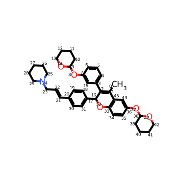 CC1=C(c2cccc(OC3CCCCO3)c2)C(c2ccc(C=CCN3CCCCC3)cc2)Oc2ccc(OC3CCCCO3)cc21